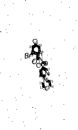 O=C(NS(=O)(=O)c1ccc(N2CCOCC2)nc1)c1ccc(Cl)cc1Br